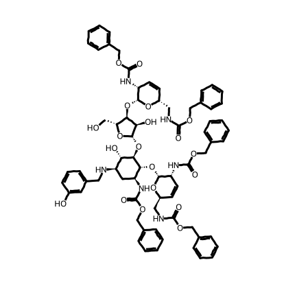 O=C(NC[C@H]1C=C[C@@H](NC(=O)OCc2ccccc2)[C@@H](O[C@H]2[C@@H](O)[C@H](O[C@@H]3[C@@H](O)[C@H](NCc4cccc(O)c4)C[C@H](NC(=O)OCc4ccccc4)[C@H]3O[C@H]3O[C@H](CNC(=O)OCc4ccccc4)C=C[C@H]3NC(=O)OCc3ccccc3)O[C@@H]2CO)O1)OCc1ccccc1